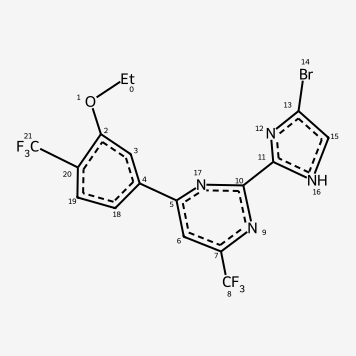 CCOc1cc(-c2cc(C(F)(F)F)nc(-c3nc(Br)c[nH]3)n2)ccc1C(F)(F)F